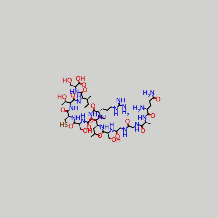 CC[C@H](C)[C@H](NC(=O)[C@@H](NC(=O)[C@H](CS)NC(=O)[C@H](CO)NC(=O)[C@H](CC(C)C)NC(=O)[C@H](CCCNC(=N)N)NC(=O)[C@H](CC(C)C)NC(=O)[C@H](CO)NC(=O)CNC(=O)CNC(=O)[C@H](C)NC(=O)[C@@H](N)CCC(N)=O)[C@@H](C)O)C(=O)N[C@@H](CO)C(=O)O